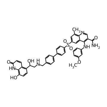 COc1cccc(Nc2c(C(N)=O)cnc3c(C)cc(S(=O)(=O)c4ccc(-c5ccc(CNCC(O)c6ccc(O)c7[nH]c(=O)ccc67)cc5)cc4)cc23)c1